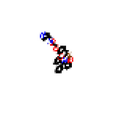 O=C1SC(Cc2ccc(OCCON=Cc3ccncc3)cc2)C(=O)N1C(c1ccccc1)(c1ccccc1)c1ccccc1